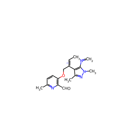 C=Nc1c(/C(=C\C)COc2ccc(C)nc2C=O)c(C)nn1C